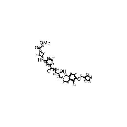 COCC(=O)N1CC(Nc2cc(C(=O)NC[C@H](O)CN3CCc4c(ccc(OCc5cnco5)c4C)C3)ncn2)C1